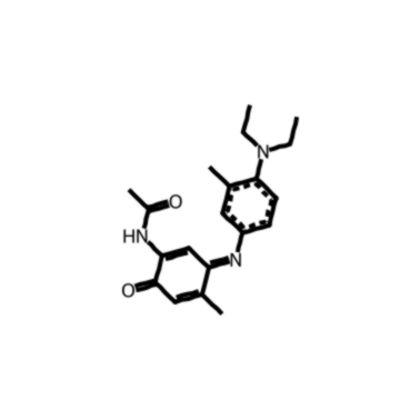 CCN(CC)c1ccc(N=C2C=C(NC(C)=O)C(=O)C=C2C)cc1C